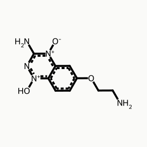 NCCOc1ccc2c(c1)[n+]([O-])c(N)n[n+]2O